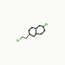 BrCCc1ccc2cc(Br)ccc2c1